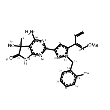 C=C/C(=N\OC)c1cc(-c2nc(N)c3c(n2)NC(=O)C3(C)C#N)nn1Cc1ccccc1F